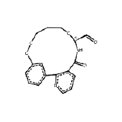 O=C[C@@H]1CCCCCOc2cccc(c2)-c2ncccc2C(=O)N1